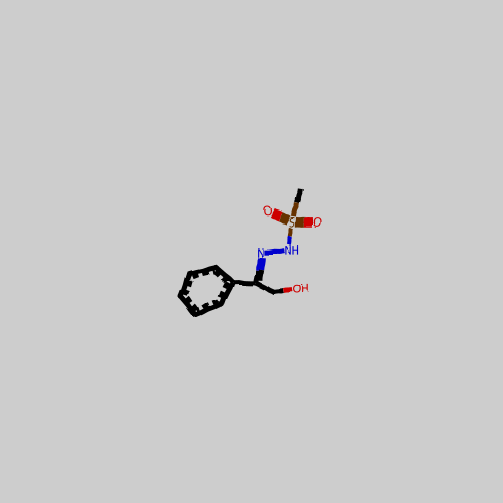 CS(=O)(=O)NN=C(CO)c1ccccc1